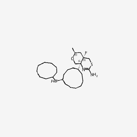 C[C@H]1C[C@@]2(F)CSC(N)=N[C@@]2(C2CCCCCCC(BC3CCCCCCCC3)CCC2)CO1